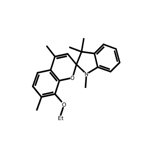 CCOc1c(C)ccc2c1OC1(C=C2C)N(C)c2ccccc2C1(C)C